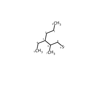 CCCC(CC)C(C)C[S]